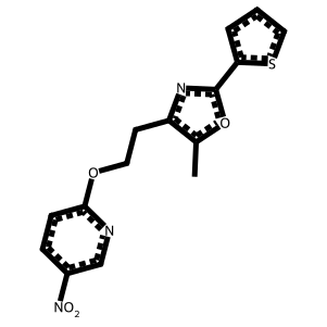 Cc1oc(-c2cccs2)nc1CCOc1ccc([N+](=O)[O-])cn1